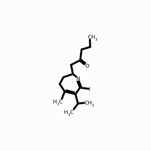 CCCC(=O)CC1CCC(C)=C(C(C)C)C(I)=N1